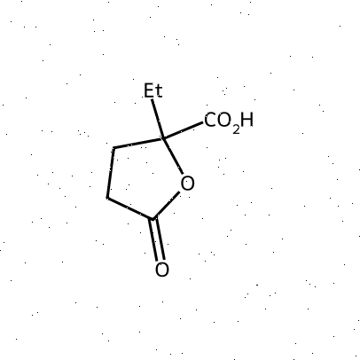 CCC1(C(=O)O)CCC(=O)O1